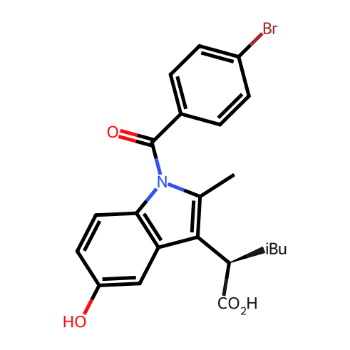 CCC(C)[C@@H](C(=O)O)c1c(C)n(C(=O)c2ccc(Br)cc2)c2ccc(O)cc12